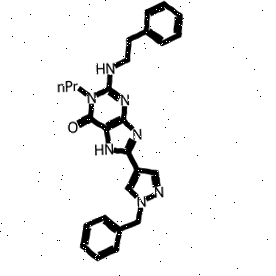 CCCn1c(NCCc2ccccc2)nc2nc(-c3cnn(Cc4ccccc4)c3)[nH]c2c1=O